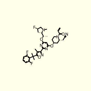 C=CC(=O)N1CC[C@H](Oc2cc(O[C@@H](C)[C@@H]3C[C@@H](F)CN3C)nc(-c3noc(C(C)(C)c4c(F)cccc4F)c3C)n2)C[C@H]1CC#N